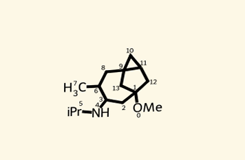 COC12CC(NC(C)C)C(C)CC3(CC3C1)C2